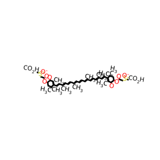 CC1=C(/C=C/C(C)=C/C=C/C(C)=C/C=C/C=C(C)/C=C/C=C(C)/C=C/C2=C(C)C(=O)C(OC(=O)C[S+]([O-])CC(=O)O)CC2(C)C)C(C)(C)CC(OC(=O)C[S+]([O-])CC(=O)O)C1=O